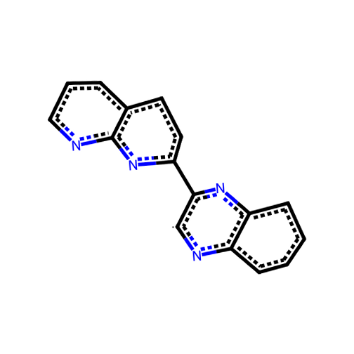 [c]1nc2ccccc2nc1-c1ccc2cccnc2n1